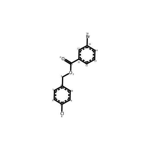 O=C(OCc1ccc(Cl)cc1)c1cccc(Br)c1